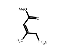 COC(=O)C=C(C)CC(=O)O